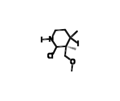 COC[C@@]1(C)C(Cl)N(I)CCC1(C)I